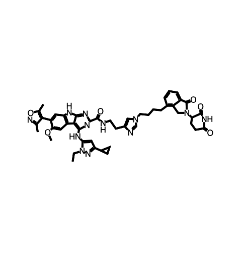 CCn1nc(C2CC2)cc1Nc1nc(C(=O)NCCc2cn(CCCCc3cccc4c3CN(C3CCC(=O)NC3=O)C4=O)cn2)nc2[nH]c3cc(-c4c(C)noc4C)c(OC)cc3c12